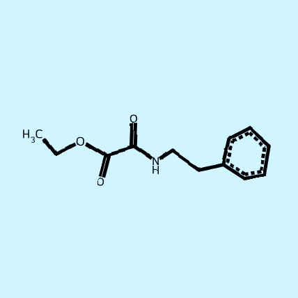 CCOC(=O)C(=O)NCCc1ccccc1